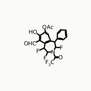 CC(=O)Oc1cc2c(c(C=O)c1O)C(F)C(F)N(C(=O)C(F)(F)F)C(F)C2c1ccccc1